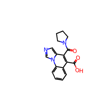 O=C(O)c1c(C(=O)N2CCCC2)c2cncn2c2ccccc12